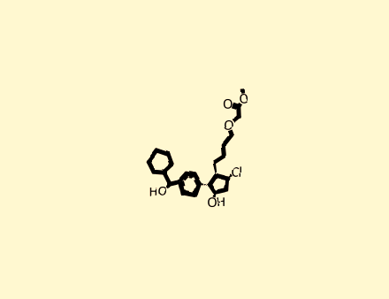 COC(=O)COCCCC[C@@H]1[C@@H](c2ccc(C(O)C3CCCCC3)cc2)[C@H](O)C[C@@H]1Cl